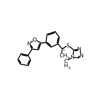 C[C@H](Sc1nncn1C)c1cccc(-c2cc(-c3ccccc3)no2)c1